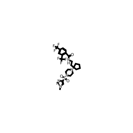 Cn1cc(S(=O)(=O)N2CCN(C3(CCNC(=O)c4ccc(C(F)(F)F)cc4C(F)(F)F)CCCC3)CC2)nn1